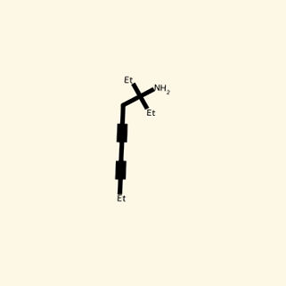 CCC#CC#CCC(N)(CC)CC